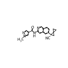 Cn1cc(C(=O)Nc2cc3cc([C@]4(C#N)CC45CC5)ccc3cn2)cn1